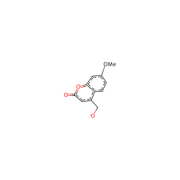 COc1ccc2c(C[O])cc(=O)oc2c1